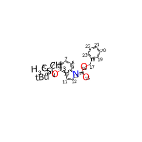 CC(C)(C)[Si](C)(C)Oc1cccc2c1ccn2C(=O)OCc1ccccc1